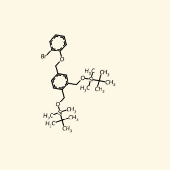 CC(C)(C)[Si](C)(C)OCc1ccc(COc2[c]cccc2Br)cc1CO[Si](C)(C)C(C)(C)C